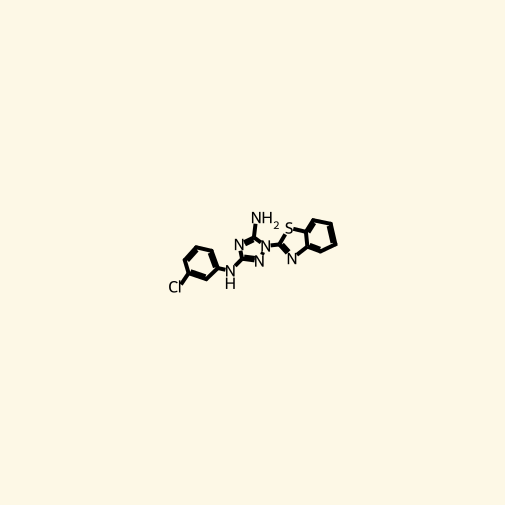 Nc1nc(Nc2cccc(Cl)c2)nn1-c1nc2ccccc2s1